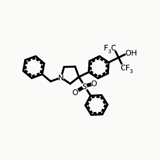 O=S(=O)(c1ccccc1)C1(c2ccc(C(O)(C(F)(F)F)C(F)(F)F)cc2)CCN(Cc2ccccc2)C1